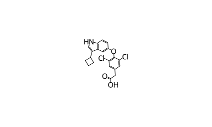 O=C(O)Cc1cc(Cl)c(Oc2ccc3[nH]cc(C4CCC4)c3c2)c(Cl)c1